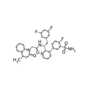 Cc1cc(=O)n(CC(=O)N[C@@H](Cc2cc(F)cc(F)c2)c2ncccc2-c2ccc(F)c(S(N)(=O)=O)c2)c2ccccc12